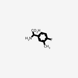 Cc1cc(C(N)C(=O)O)ccc1F